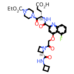 CCOC(=O)N1CCN(C(=O)[C@H](CCC(=O)O)NC(=O)c2cc(OCC(=O)N3CC[C@H]3C(=O)NC3CCC3)c3c(F)cccc3n2)CC1